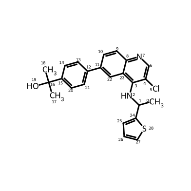 CC(Nc1c(Cl)cnc2ccc(-c3ccc(C(C)(C)O)cc3)cc12)c1cccs1